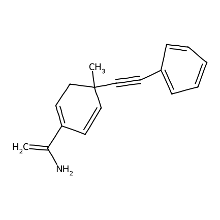 C=C(N)C1=CCC(C)(C#Cc2ccccc2)C=C1